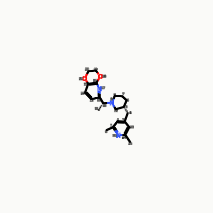 Cc1cc(C[C@H]2CCCN([C@H](C)c3ccc4c(n3)OCCO4)C2)cc(C)n1